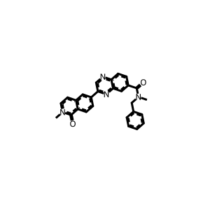 CN(Cc1ccccc1)C(=O)c1ccc2ncc(-c3ccc4c(=O)n(C)ccc4c3)nc2c1